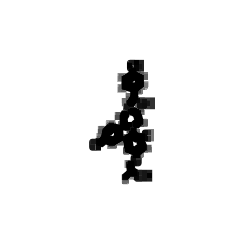 C[C@H](O)COc1ccc(N2CCN(C[C@@H](O)c3ccc(C#N)cc3)C[C@H]2c2ccc(Cl)cc2)c(Cl)c1